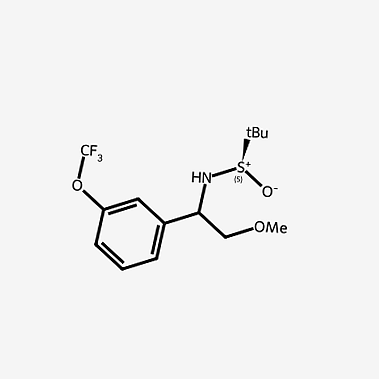 COCC(N[S@+]([O-])C(C)(C)C)c1cccc(OC(F)(F)F)c1